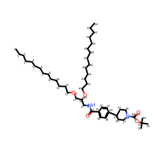 CCCCCCCCCCCCCCOCC(CNC(=O)c1ccc(C2CCN(C(=O)OC(C)(C)C)CC2)cc1)OCCCCCCCCCCCCCC